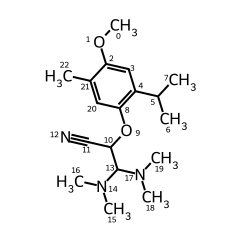 COc1cc(C(C)C)c(OC(C#N)C(N(C)C)N(C)C)cc1C